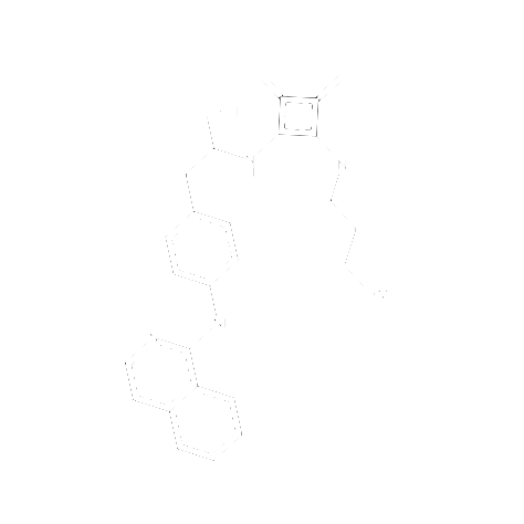 COCCCNc1c(NC(Cc2ccc(Nc3nccc4ccccc34)cc2)C(=O)O)c(=O)c1=O